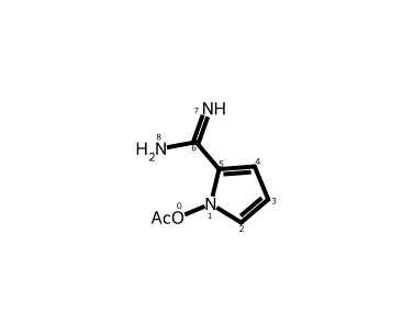 CC(=O)On1cccc1C(=N)N